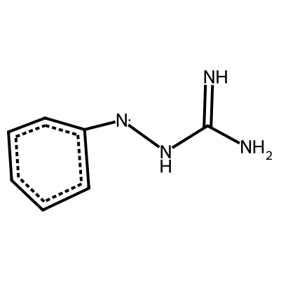 N=C(N)N[N]c1ccccc1